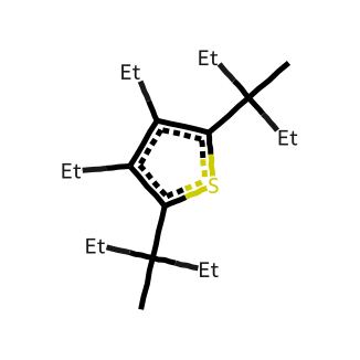 CCc1c(C(C)(CC)CC)sc(C(C)(CC)CC)c1CC